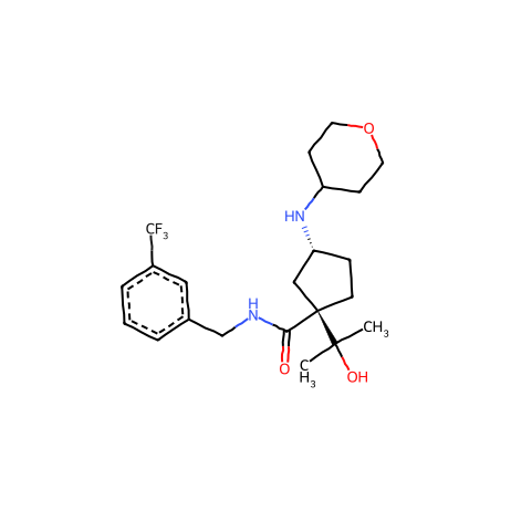 CC(C)(O)[C@]1(C(=O)NCc2cccc(C(F)(F)F)c2)CC[C@@H](NC2CCOCC2)C1